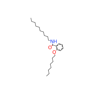 CCCCCCCCCCNC(=O)c1ccccc1OCCCCCCCC